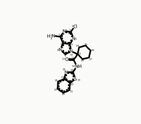 Nc1nc(Cl)nc2c1ncn2C1(C(=O)Nc2nc3ccccc3s2)CCCCC1